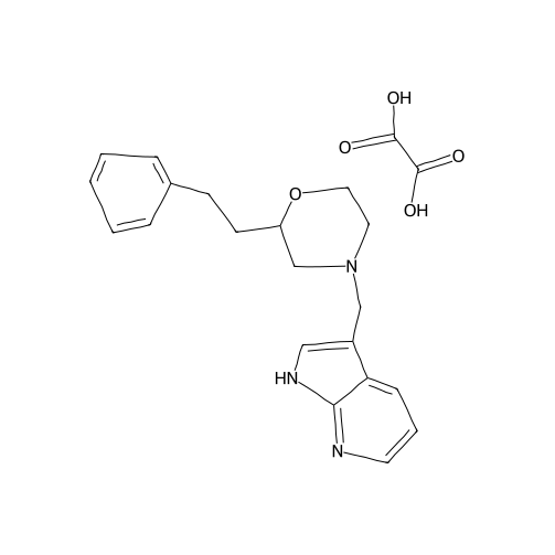 O=C(O)C(=O)O.c1ccc(CCC2CN(Cc3c[nH]c4ncccc34)CCO2)cc1